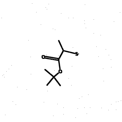 CC([S])C(=O)OC(C)(C)C